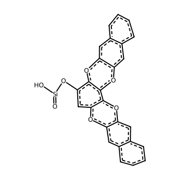 O=[Si](O)Oc1cc2oc3cc4ccccc4cc3oc2c2oc3cc4ccccc4cc3oc12